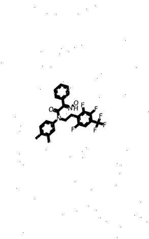 Cc1ccc(N(CCc2c(F)cc(C(F)(F)F)c(F)c2F)C(=O)C(=NO)c2ccccc2)cc1C